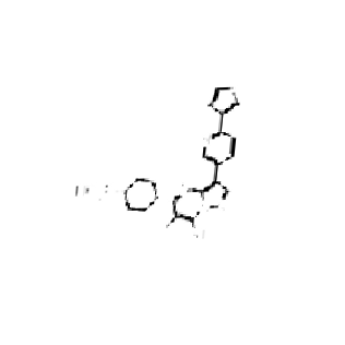 Nc1c(Br)c([C@H]2CC[C@@H](C(=O)O)CC2)nc2c(-c3ccc(-c4ccsc4)nc3)cnn12